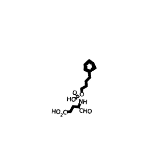 O=C[C@H](CCC(=O)O)NP(=O)(O)OCCCCc1ccccc1